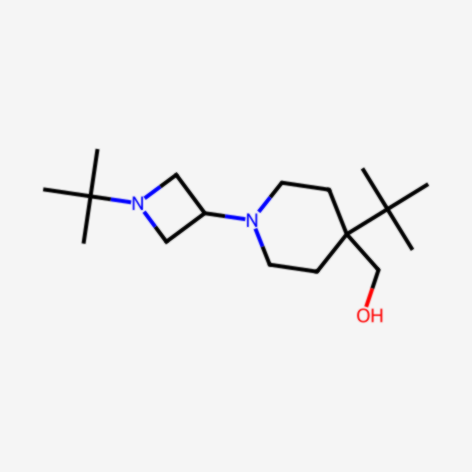 CC(C)(C)N1CC(N2CCC(CO)(C(C)(C)C)CC2)C1